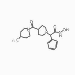 CC1CCN(C(=O)C2CCN(C(C(=O)NO)c3ccccc3)CC2)CC1